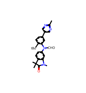 Cc1ncc(-c2ccc(C(C)(C)C)c(N(C=O)c3ccc4c(c3)N(C)C(=O)C4(C)C)c2)cn1